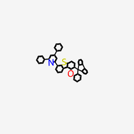 c1ccc(-c2cc(-c3ccccc3)nc(-c3cccc4c3sc3ccc5c(c34)Oc3ccccc3C53c4ccccc4-c4ccccc43)c2)cc1